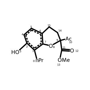 CCCc1c(O)ccc2c1OC(C(C)=O)(C(=O)OC)CC2